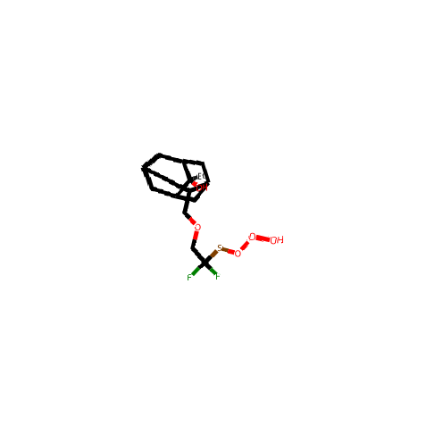 CCC1(O)C2CC3CC1CC(C2)C3COCC(F)(F)SOOO